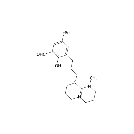 CN1CCC[N+]2=C1N(CCCc1cc(C(C)(C)C)cc(C=O)c1O)CCC2